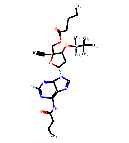 C#C[C@]1(COC(=O)CCCC)O[C@@H](n2cnc3c(NC(=O)CCC)nc(F)nc32)CC1O[Si](C)(C)C(C)(C)C